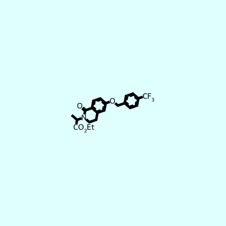 CCOC(=O)C(C)N1CCc2cc(OCc3ccc(C(F)(F)F)cc3)ccc2C1=O